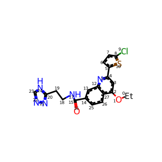 CCOc1cc(-c2ccc(Cl)s2)nc2cc(C(=O)NCCc3nnc[nH]3)ccc12